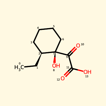 CC[C@H]1CCCC[C@]1(O)C(=O)C(=O)O